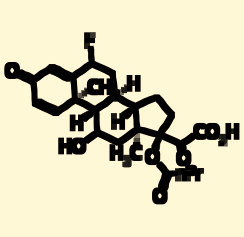 CCCC(=O)O[C@]1(C(=O)C(=O)O)CC[C@H]2[C@@H]3CC(F)C4=CC(=O)C=C[C@]4(C)[C@H]3C(O)C[C@@]21C